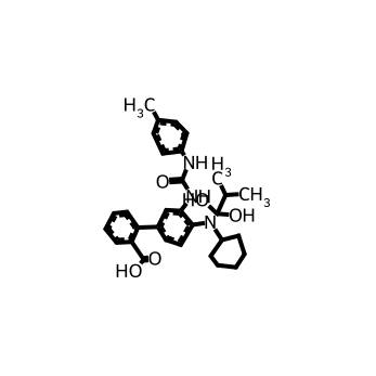 Cc1ccc(NC(=O)Nc2cc(-c3ccccc3C(=O)O)ccc2N(C2CCCCC2)C(O)(O)C(C)C)cc1